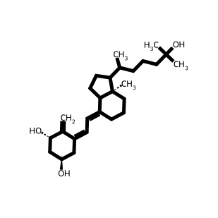 C=C1/C(=C\C=C2/CCC[C@@]3(C)C2CCC3C(C)CCCC(C)(C)O)C[C@@H](O)C[C@@H]1O